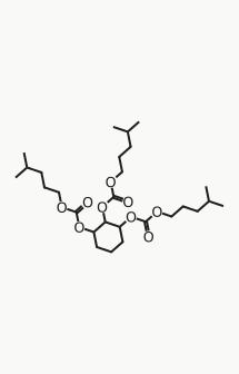 CC(C)CCCOC(=O)OC1CCCC(OC(=O)OCCCC(C)C)C1OC(=O)OCCCC(C)C